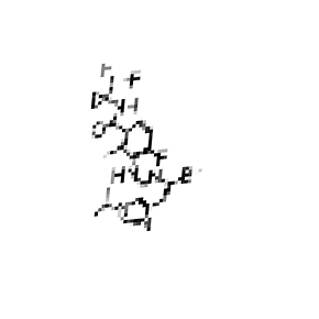 Cc1c(C(=O)NC2(C(F)F)CC2)ccc(F)c1Nc1nc(Br)cc2ncn(C(C)C)c12